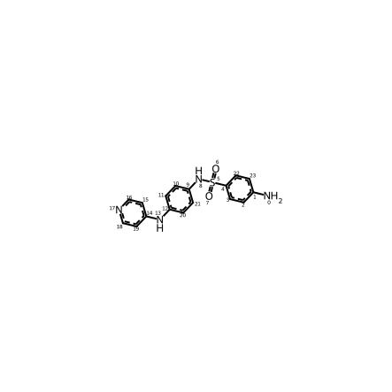 Nc1ccc(S(=O)(=O)Nc2ccc(Nc3ccncc3)cc2)cc1